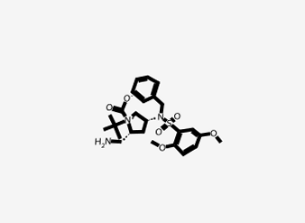 COc1ccc(OC)c(S(=O)(=O)N(Cc2ccccc2)[C@@H]2C[C@H](CN)[N+](C(=O)[O-])(C(C)(C)C)C2)c1